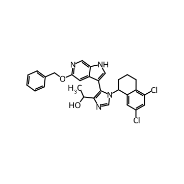 CC(O)c1ncn(C2CCCc3c(Cl)cc(Cl)cc32)c1-c1c[nH]c2cnc(OCc3ccccc3)cc12